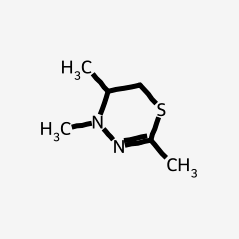 CC1=NN(C)C(C)CS1